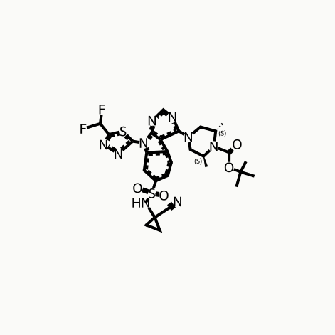 C[C@H]1CN(c2ncnc3c2c2ccc(S(=O)(=O)NC4(C#N)CC4)cc2n3-c2nnc(C(F)F)s2)C[C@H](C)N1C(=O)OC(C)(C)C